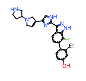 CCc1cc(O)ccc1-c1ccc2c(-c3nc(C4=CCN(C5CCNC5)C4)c[nH]3)n[nH]c2c1F